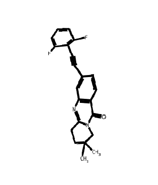 CC1(C)CCc2nc3cc(C#Cc4c(F)cccc4F)ccc3c(=O)n2C1